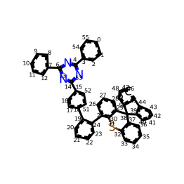 c1ccc(-c2nc(-c3ccccc3)nc(-c3ccc(-c4ccccc4-c4cccc5c4Sc4ccccc4C54c5ccccc5-c5ccccc54)cc3)n2)cc1